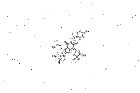 CC(C)=CCn1c(N2CC[C@@H]3CNC[C@@H]32)nc2c1c(=O)n(CC(F)(F)c1ccc(F)cc1)c(=O)n2C.O=C(O)C(F)(F)F